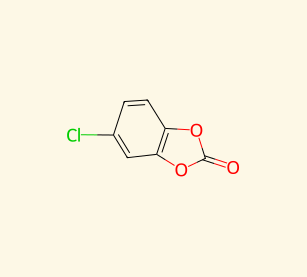 O=c1oc2ccc(Cl)cc2o1